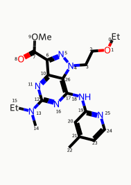 CCOCCn1nc(C(=O)OC)c2nc(N(C)CC)nc(Nc3cc(C)ccn3)c21